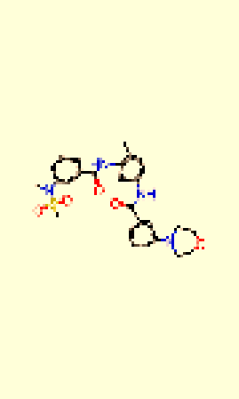 Cc1ccc(NC(=O)c2cccc(N3CCOCC3)c2)cc1NC(=O)c1cccc(N(C)S(C)(=O)=O)c1